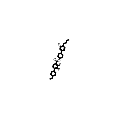 CCCCc1ccc(C2CCC(OC(=O)c3ccc(-c4ccc(CC)cc4)c(F)c3F)CC2)cc1F